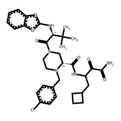 CC(C)(C)[C@H](Nc1nc2ccccc2o1)C(=O)N1CCN(Cc2ccc(Cl)cc2)[C@@H](C(=O)NC(CC2CCC2)C(=O)C(N)=O)C1